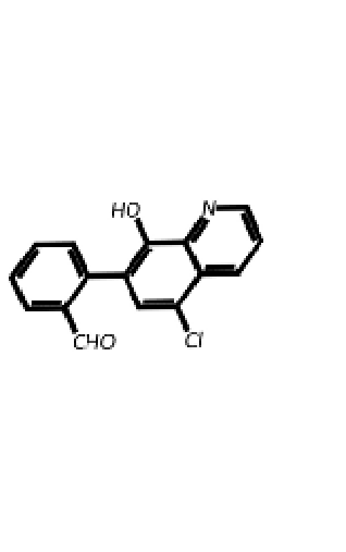 O=Cc1ccccc1-c1cc(Cl)c2cccnc2c1O